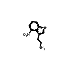 NCCc1c[nH]c2cccc([N+](=O)[O-])c12